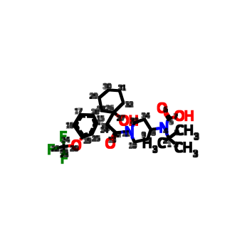 CC(C)(C)N(C(=O)O)C1CCN(C(=O)[C@H](c2cccc(OC(F)(F)F)c2)C2(O)CCCCC2)CC1